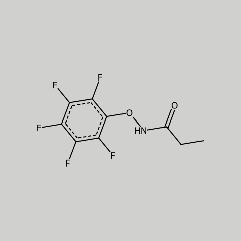 CCC(=O)NOc1c(F)c(F)c(F)c(F)c1F